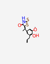 C=CCc1cc(/C(C)=C2\SC(=S)NC2=O)cc(OC)c1O